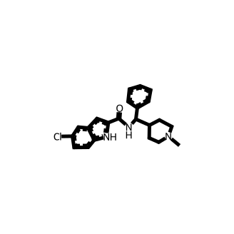 CN1CCC(C(NC(=O)c2cc3cc(Cl)ccc3[nH]2)c2ccccc2)CC1